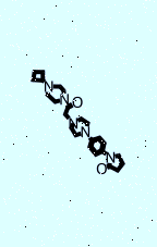 O=C(CN1CCN(c2ccc(N3CCCC3=O)cc2)CC1)N1CCN(C2CCC2)CC1